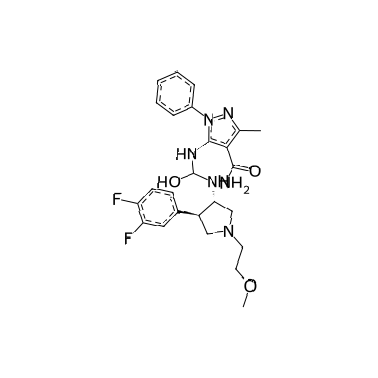 COCCN1C[C@@H](NC(O)Nc2c(C(N)=O)c(C)nn2-c2ccccc2)[C@H](c2ccc(F)c(F)c2)C1